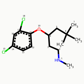 CNCCC(CC(C)(C)C)Oc1ccc(Cl)cc1Cl